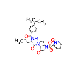 CCCC(NC(=O)c1ccc(C(C)C)cc1)C(=O)N1CCC2C1C(=O)CN2S(=O)(=O)c1cccc[n+]1[O-]